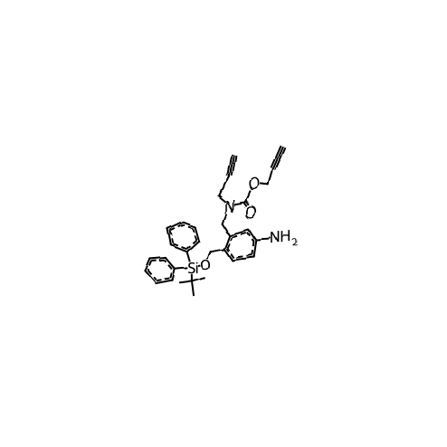 C#CCOC(=O)N(CC#C)Cc1cc(N)ccc1CO[Si](c1ccccc1)(c1ccccc1)C(C)(C)C